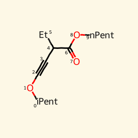 [CH2]CCC(C)OC#CC(CC)C(=O)OCCCCC